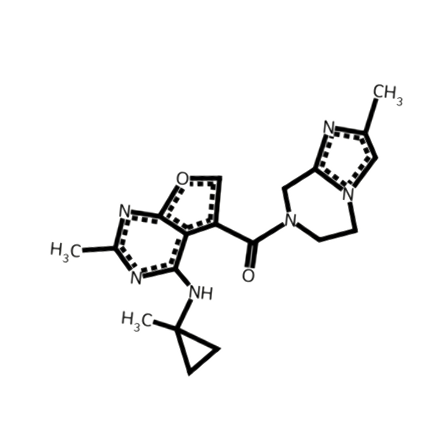 Cc1cn2c(n1)CN(C(=O)c1coc3nc(C)nc(NC4(C)CC4)c13)CC2